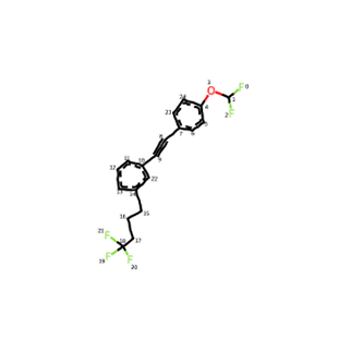 FC(F)Oc1ccc(C#Cc2cccc(CCCC(F)(F)F)c2)cc1